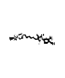 CC1=C(CCCCCCN2CCN(S(=O)(=O)C3CC3)CC2)C(=O)N(c2ccc(C#N)c(C(F)(F)F)c2)C1=O